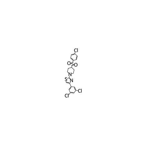 O=S(=O)(c1ccc(Cl)cc1)C1CCN(c2nc(-c3cc(Cl)cc(Cl)c3)cs2)CC1